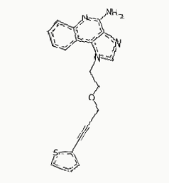 Nc1nc2ccccc2c2c1ncn2CCOCC#Cc1cccs1